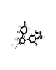 Cc1cc(N2C=C(C(F)(F)F)NC2c2ccc(F)cc2)cc2cn[nH]c12